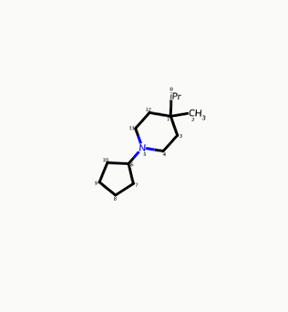 CC(C)C1(C)CCN(C2CCCC2)CC1